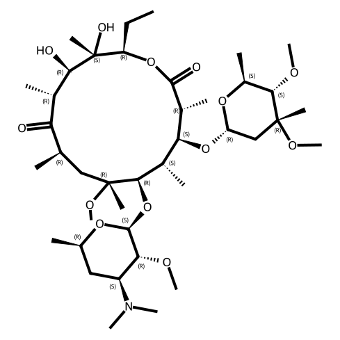 CC[C@H]1OC(=O)[C@H](C)[C@@H](O[C@H]2C[C@@](C)(OC)[C@@H](OC)[C@H](C)O2)[C@H](C)[C@@H](O[C@@H]2O[C@H](C)C[C@H](N(C)C)[C@H]2OC)[C@](C)(OC)C[C@@H](C)C(=O)[C@H](C)[C@@H](O)[C@]1(C)O